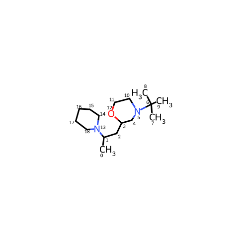 CC(CC1CN(C(C)(C)C)CCO1)N1CCCCC1